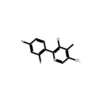 Cc1c(C(F)(F)F)cnc(-c2ccc(F)cc2F)c1Cl